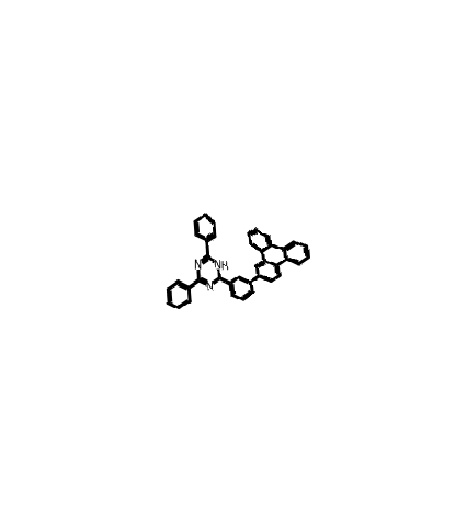 c1ccc(C2=NC(c3cccc(-c4ccc5c6ccccc6c6ccccc6c5c4)c3)NC(c3ccccc3)=N2)cc1